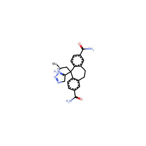 CC(C)(C)[C@H](N)CC1(C2=NN=NC2)c2ccc(C(N)=O)cc2CCc2cc(C(N)=O)ccc21